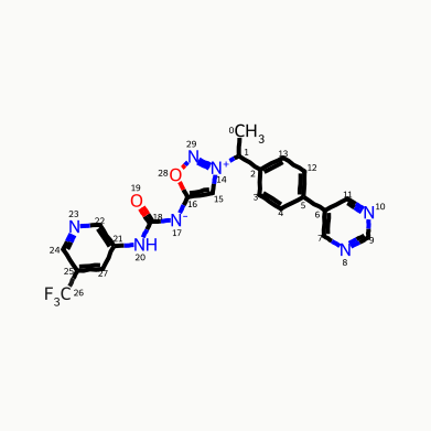 CC(c1ccc(-c2cncnc2)cc1)[n+]1cc([N-]C(=O)Nc2cncc(C(F)(F)F)c2)on1